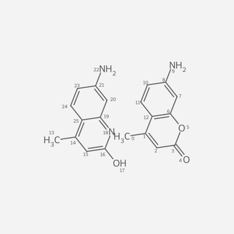 Cc1cc(=O)oc2cc(N)ccc12.Cc1cc(O)nc2cc(N)ccc12